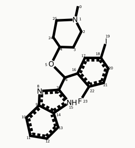 CN1CCC(OC(c2nc3ccccc3[nH]2)c2cc(I)ccc2F)CC1